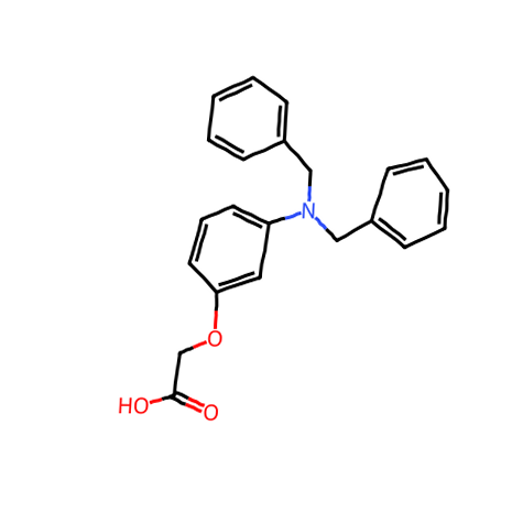 O=C(O)COc1cccc(N(Cc2ccccc2)Cc2ccccc2)c1